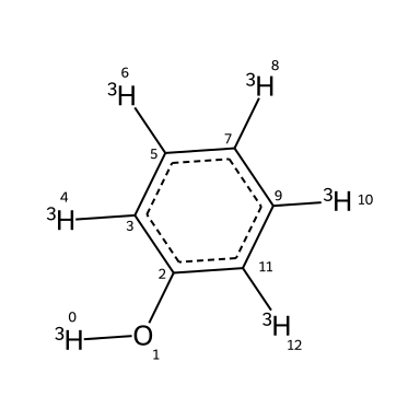 [3H]Oc1c([3H])c([3H])c([3H])c([3H])c1[3H]